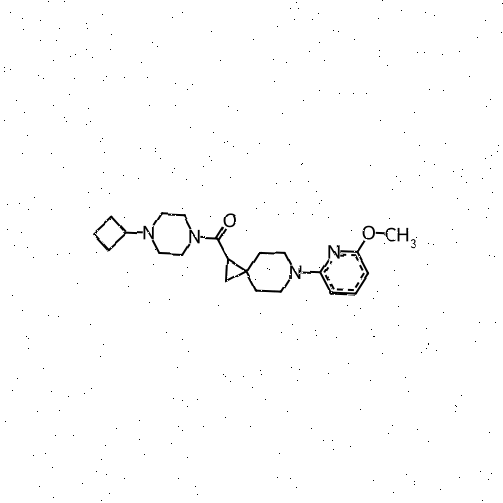 COc1cccc(N2CCC3(CC2)CC3C(=O)N2CCN(C3CCC3)CC2)n1